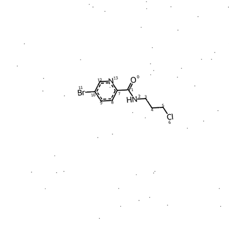 O=C(NCCCCl)c1ccc(Br)cn1